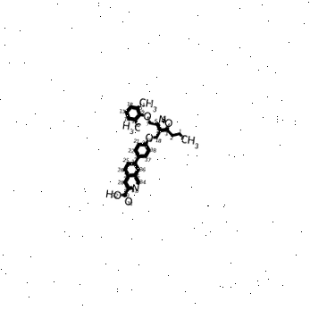 CCCc1onc(COc2c(C)cccc2C)c1COc1ccc(-c2ccc3cc(C(=O)O)ncc3c2)cc1